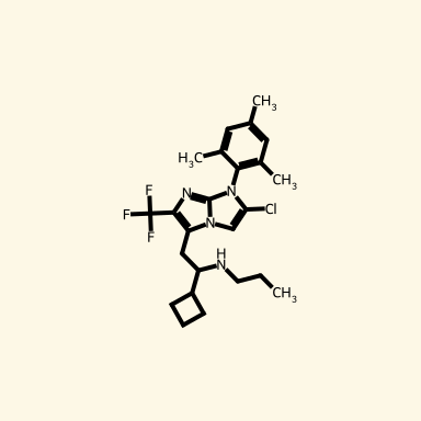 CCCNC(Cc1c(C(F)(F)F)nc2n(-c3c(C)cc(C)cc3C)c(Cl)cn12)C1CCC1